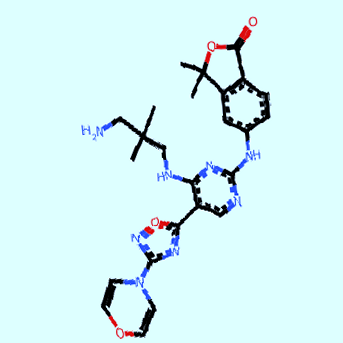 CC(C)(CN)CNc1nc(Nc2ccc3c(c2)C(C)(C)OC3=O)ncc1-c1nc(N2C=COC=C2)no1